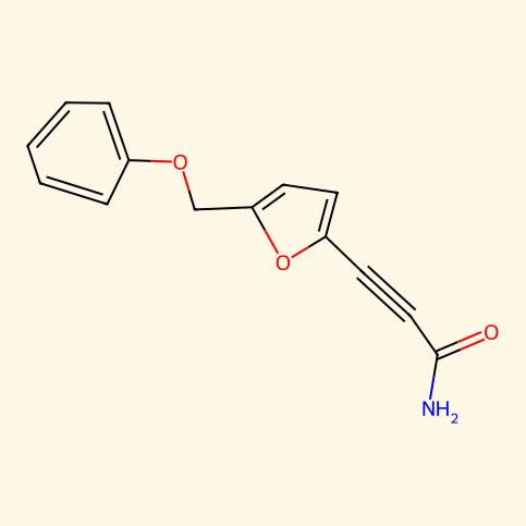 NC(=O)C#Cc1ccc(COc2ccccc2)o1